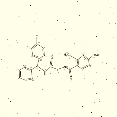 COc1ccc(C(=O)NCC(=O)NC(c2ccccc2)c2ccc(Cl)cc2)c(C)c1